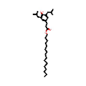 CCCCCCCCCCCCCCCCOC(=O)CCc1cc(CC(C)C)c(O)c(CC(C)C)c1